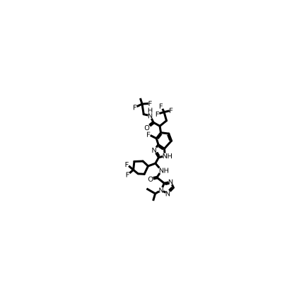 CC(C)n1ncnc1C(=O)NC(c1nc2c(F)c(C(CC(F)(F)F)C(=O)NCC(C)(F)F)ccc2[nH]1)C1CCC(F)(F)CC1